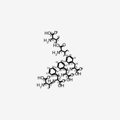 CC(C)C(N)C(=O)O.CC(C)C(N)C(=O)O.CC(C)C(N)C(=O)O.NC(Cc1ccccc1)C(=O)O.NC(Cc1ccccc1)C(=O)O.NC(Cc1ccccc1)C(=O)O